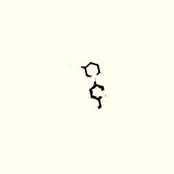 CC1CCCN(c2ccc(C=O)nc2)C1